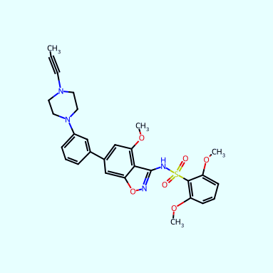 CC#CN1CCN(c2cccc(-c3cc(OC)c4c(NS(=O)(=O)c5c(OC)cccc5OC)noc4c3)c2)CC1